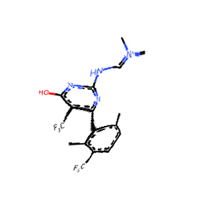 Cc1ccc(C(F)(F)F)c(C)c1-c1nc(NC=[N+](C)C)nc(O)c1C(F)(F)F